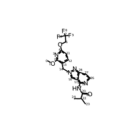 COc1nc(OCC(F)(F)F)ccc1Cn1cc2c(NC(=O)C(C)C)nccc2n1